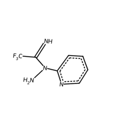 N=C(N(N)c1ccccn1)C(F)(F)F